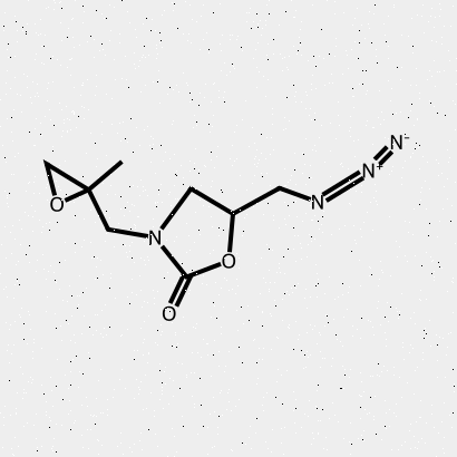 CC1(CN2CC(CN=[N+]=[N-])OC2=O)CO1